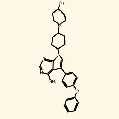 Nc1ncnc2c1c(-c1ccc(Oc3ccccc3)cc1)cn2C1CCC(N2CCC(O)CC2)CC1